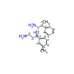 CC(CN)c1ccccc1.CCN(CCN)c1cccc(C)c1